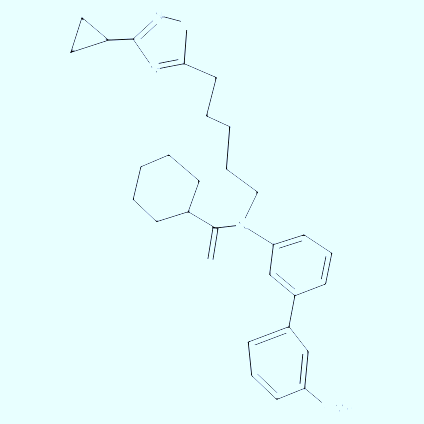 COc1cccc(-c2cccc(N(CCCCCc3nc(C4CC4)no3)C(=O)C3CCCCC3)c2)c1